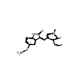 C/C=C\c1c(/C=C2\C(=O)Nc3ccc(S[N+](=O)[O-])cc32)cn(C)c1C